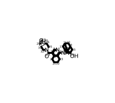 O=C(c1cnc(NC23CC4CC(CC(O)(C4)C2)C3)c2c1CCCC2)N1CCS(=O)(I)(I)CC1